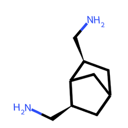 NC[C@@H]1CC2CC1[C@@H](CN)C2